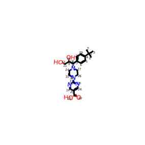 CC(C)(C)c1ccc([C@H]([C@H](O)CO)N2CCN(c3ncc(C(=O)O)cn3)CC2)cc1